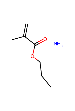 C=C(C)C(=O)OCCC.N